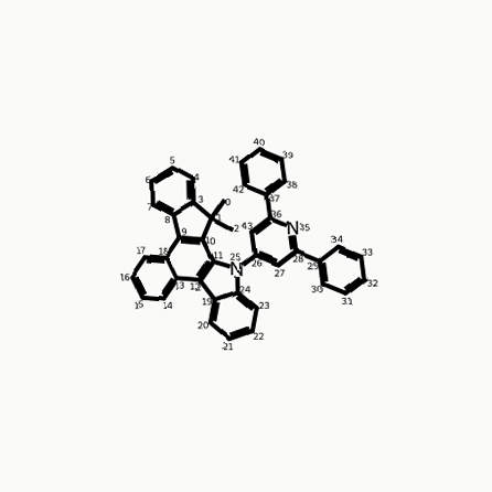 CC1(C)c2ccccc2-c2c1c1c(c3ccccc23)c2ccccc2n1-c1cc(-c2ccccc2)nc(-c2ccccc2)c1